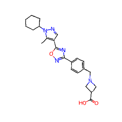 Cc1c(-c2nc(-c3ccc(CN4CC(C(=O)O)C4)cc3)no2)cnn1C1CCCCC1